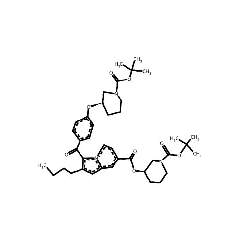 CCCCc1cc2cc(C(=O)O[C@@H]3CCCN(C(=O)OC(C)(C)C)C3)ccn2c1C(=O)c1ccc(O[C@@H]2CCCN(C(=O)OC(C)(C)C)C2)cc1